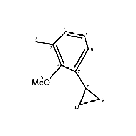 COc1c(C)cccc1C1CC1